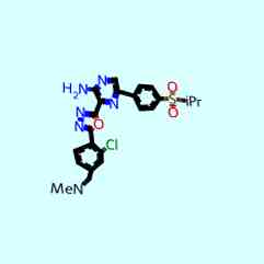 CNCc1ccc(-c2nnc(-c3nc(-c4ccc(S(=O)(=O)C(C)C)cc4)cnc3N)o2)c(Cl)c1